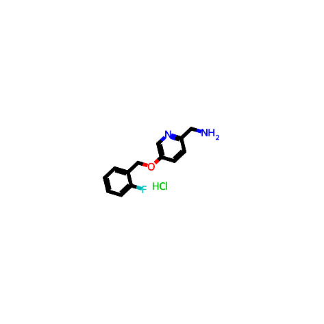 Cl.NCc1ccc(OCc2ccccc2F)cn1